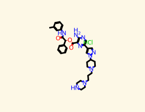 Cc1cccc(NC(=O)[C@H](OC(=O)c2nc(-c3cnn(C4CCN(CCCN5CCNCC5)CC4)c3)cnc2N)c2ccccc2)c1.Cl